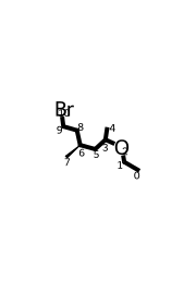 CCOC(C)C[C@@H](C)CCBr